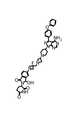 Nc1ncnc2c1c(-c1ccc(Oc3ccccc3)cc1)nn2C1CCN(C2CN(CC3(F)CN(c4ccc5c(c4)C(O)N(C4CCC(=O)NC4=O)C5=O)C3)C2)CC1